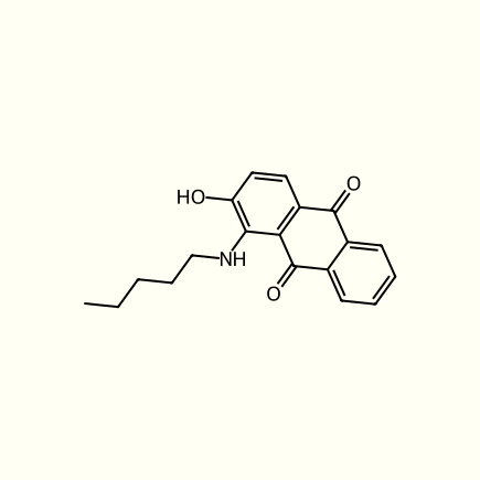 CCCCCNc1c(O)ccc2c1C(=O)c1ccccc1C2=O